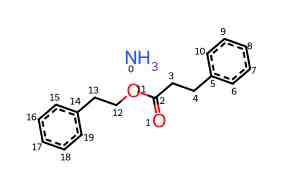 N.O=C(CCc1ccccc1)OCCc1ccccc1